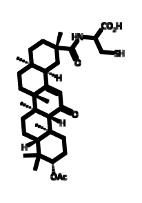 CC(=O)O[C@H]1CC[C@]2(C)[C@H]3C(=O)C=C4[C@@H]5C[C@@](C)(C(=O)NC(CS)C(=O)O)CC[C@]5(C)CC[C@@]4(C)[C@]3(C)CC[C@H]2C1(C)C